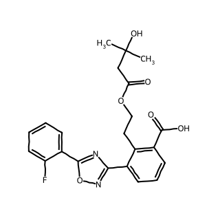 CC(C)(O)CC(=O)OCCc1c(C(=O)O)cccc1-c1noc(-c2ccccc2F)n1